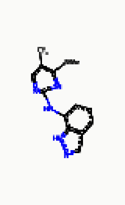 CNc1nc(Nc2cccc3cn[nH]c23)ncc1C(F)(F)F